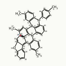 Cc1ccc(N2c3ccc(C)cc3B3c4cc(C)ccc4N(c4ccc(C)cc4-c4cccc5oc6ccccc6c45)c4cccc2c43)cc1